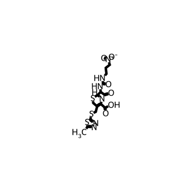 Cc1nnc(SCC2=C(C(=O)O)N3C(=O)C(NC(=O)NCCC[N+](=O)[O-])[C@H]3SC2)s1